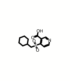 O=C(O)c1cnccc1S(=O)(=O)CC1CCCCC1